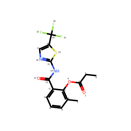 CCC(=O)Oc1c(C)cccc1C(=O)Nc1ncc(C(F)(F)F)s1